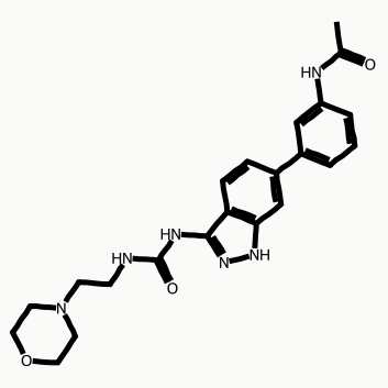 CC(=O)Nc1cccc(-c2ccc3c(NC(=O)NCCN4CCOCC4)n[nH]c3c2)c1